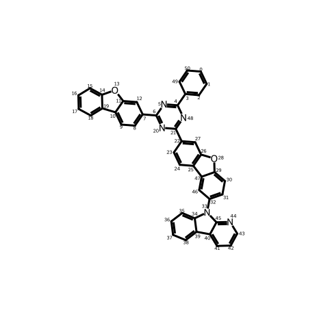 c1ccc(-c2nc(-c3ccc4c(c3)oc3ccccc34)nc(-c3ccc4c(c3)oc3ccc(-n5c6ccccc6c6cccnc65)cc34)n2)cc1